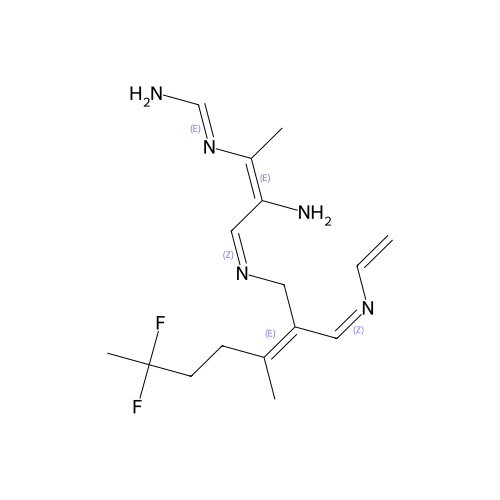 C=C/N=C\C(C\N=C/C(N)=C(C)\N=C\N)=C(/C)CCC(C)(F)F